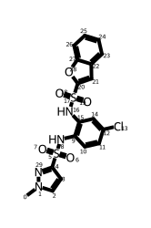 Cn1ccc(S(=O)(=O)Nc2ccc(Cl)cc2NS(=O)(=O)c2cc3ccccc3o2)n1